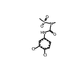 CN(C(=O)Nc1ccc(Cl)c(Cl)c1)S(C)(=O)=O